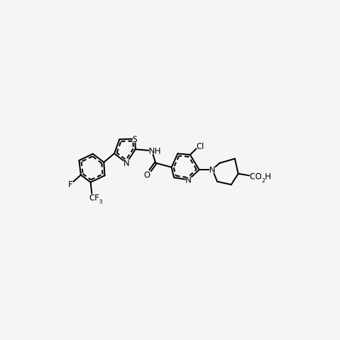 O=C(Nc1nc(-c2ccc(F)c(C(F)(F)F)c2)cs1)c1cnc(N2CCC(C(=O)O)CC2)c(Cl)c1